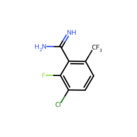 N=C(N)c1c(C(F)(F)F)ccc(Cl)c1F